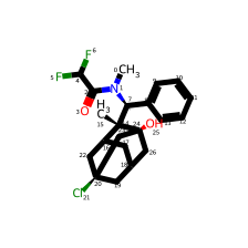 CN(C(=O)C(F)F)[C@@H](c1ccccc1)[C@@]1(C)C2CC3C[C@](Cl)(C2)C[C@@]1(O)C3